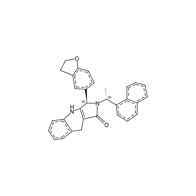 C[C@H](c1cccc2ccccc12)N1C(=O)C2=C(Nc3ccccc3C2)[C@H]1c1ccc2c(c1)CCO2